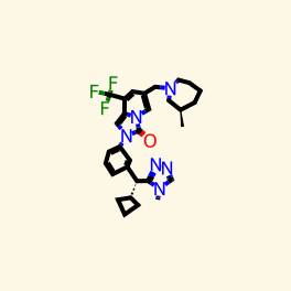 C[C@@H]1CCCCN(Cc2cc(C(F)(F)F)c3cn(-c4cccc([C@H](c5nncn5C)C5CCC5)c4)c(=O)n3c2)C1